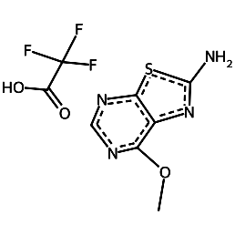 COc1ncnc2sc(N)nc12.O=C(O)C(F)(F)F